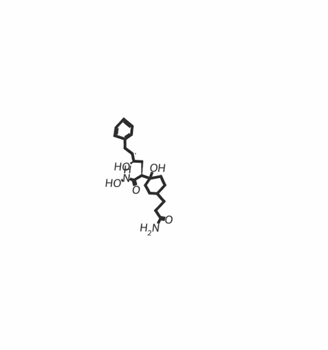 NC(=O)CCC1CCC(O)([C@H](C[C@@H](O)[CH]Cc2ccccc2)C(=O)NO)CC1